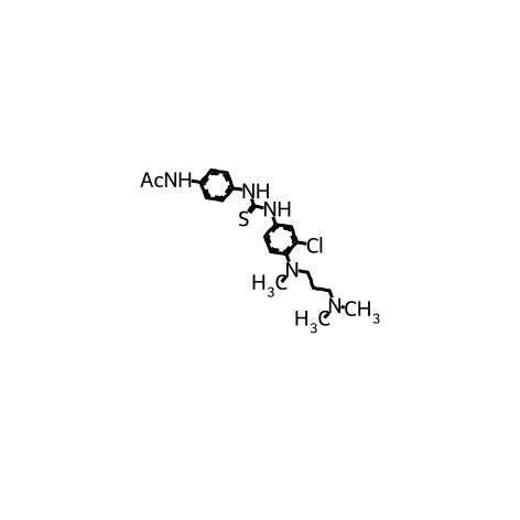 CC(=O)Nc1ccc(NC(=S)Nc2ccc(N(C)CCCN(C)C)c(Cl)c2)cc1